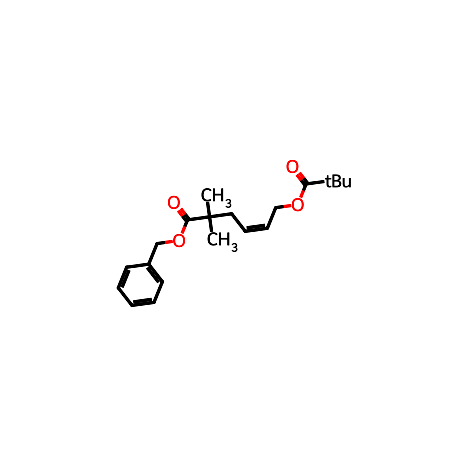 CC(C)(C)C(=O)OC/C=C\CC(C)(C)C(=O)OCc1ccccc1